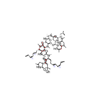 C=C/C=C\C=C\CC[C@@H](C(=O)N(C)[C@H]1CC(C)NC1=O)N(C)C(=O)[C@H](COCCC(C)(C)O)NC(=O)[C@H](C/C=C/C=C\C=C)N(C)C(=O)[C@H](CC(C)C)N(C)C(=O)[C@H](CC(C)C)NC(=O)[C@H](C)N(C)C(=O)CC(NC(=O)[C@H](CC(C)C)N(C)C(=O)CN(C)C(=O)CC(C)O)C(=O)N1CCCCC1